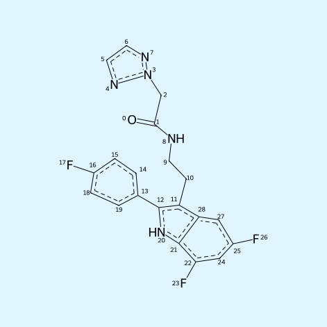 O=C(Cn1nccn1)NCCc1c(-c2ccc(F)cc2)[nH]c2c(F)cc(F)cc12